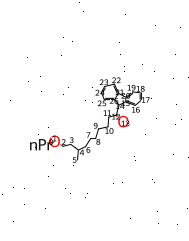 CCCOCCC(C)CCCCCCC(=O)C1c2ccccc2-c2ccccc21